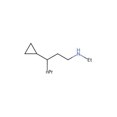 CCCC(CCNCC)C1CC1